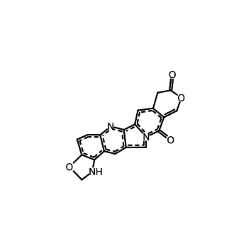 O=C1Cc2cc3c4nc5ccc6c(c5cc4cn3c(=O)c2=CO1)NCO6